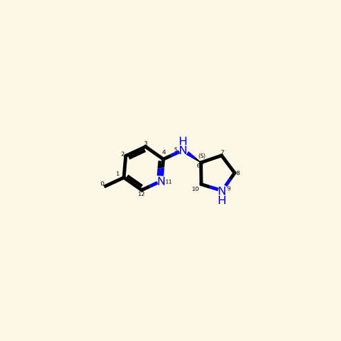 Cc1ccc(N[C@H]2CCNC2)nc1